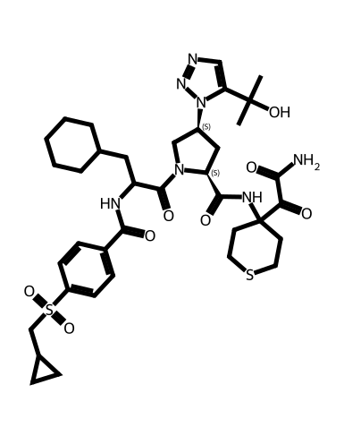 CC(C)(O)c1cnnn1[C@H]1C[C@@H](C(=O)NC2(C(=O)C(N)=O)CCSCC2)N(C(=O)C(CC2CCCCC2)NC(=O)c2ccc(S(=O)(=O)CC3CC3)cc2)C1